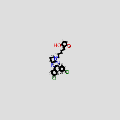 O=C1CCC(O)=C1CCCCCN1CCCc2nc(-c3ccc(Cl)cc3)c(-c3ccc(Cl)cc3)nc21